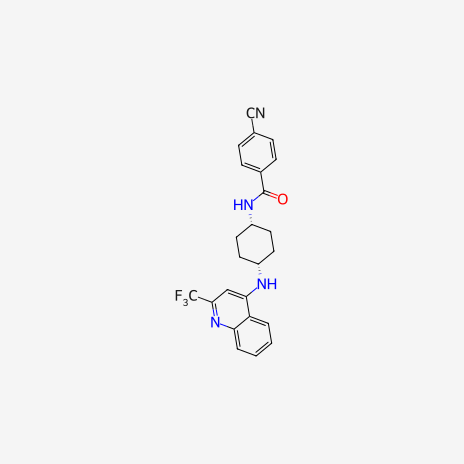 N#Cc1ccc(C(=O)N[C@H]2CC[C@@H](Nc3cc(C(F)(F)F)nc4ccccc34)CC2)cc1